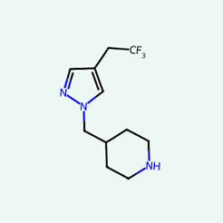 FC(F)(F)Cc1cnn(CC2CCNCC2)c1